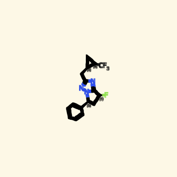 F[C@H]1C[C@@H](c2ccccc2)n2nc(C[C@H]3C[C@H]3C(F)(F)F)nc21